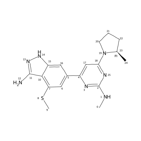 CNc1nc(-c2cc(SC)c3c(N)n[nH]c3c2)cc(N2CCC[C@H]2C)n1